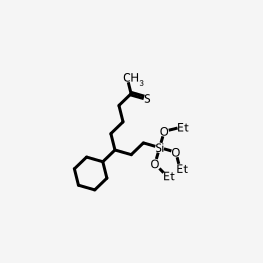 CCO[Si](CCC(CCCC(C)=S)C1CCCCC1)(OCC)OCC